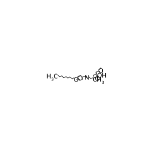 CCCCCCCCCCOc1ccc(C=NCCC(C)CC(=Cc2ccccc2)C(=O)O)cc1